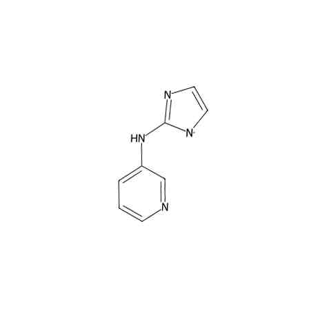 C1=CN=C(Nc2cccnc2)[N]1